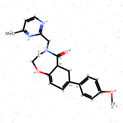 COc1ccnc(CN2CCOC3=CC=C(c4ccc(OC(F)(F)F)cc4)CC3C2=O)n1